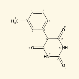 Cc1cccc(C2C(=O)NC(=O)NC2=O)c1